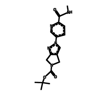 CNC(=O)c1ccc(-n2cc3c(n2)CN(C(=O)OC(C)(C)C)C3)cn1